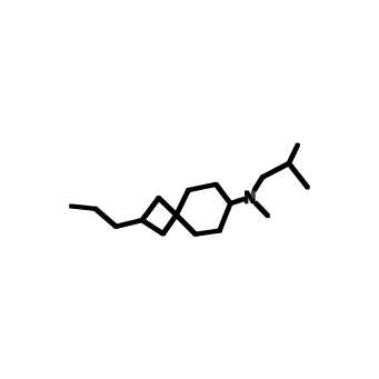 CCCC1CC2(CCC(N(C)CC(C)C)CC2)C1